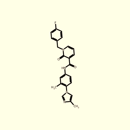 Cc1cn(-c2ccc(NC(=O)c3cccn(Cc4ccc(F)cc4)c3=O)cc2C)cn1